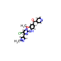 COc1cc(C(=O)c2ccncc2)ccc1Nc1ncc(Cl)c(-c2cnn(C)c2)n1